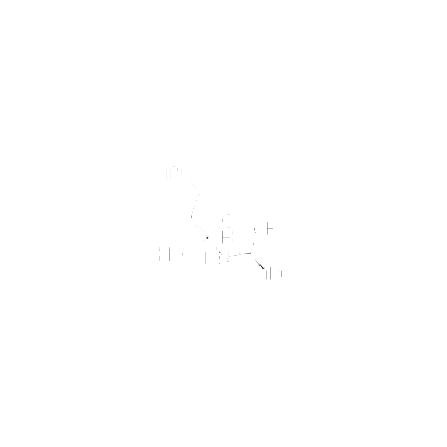 CC(C)CCC(C)(C)N[C@H](C(C)C)C(F)(F)F